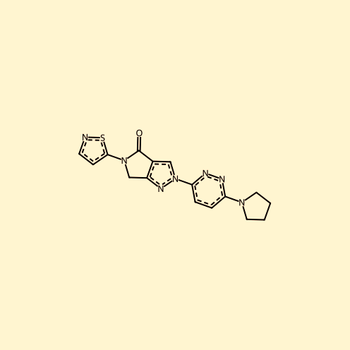 O=C1c2cn(-c3ccc(N4CCCC4)nn3)nc2CN1c1ccns1